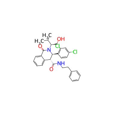 CC(C)[C@@H](CO)N1C(=O)c2ccccc2[C@@H](C(=O)NCCc2ccccc2)[C@@H]1c1ccc(Cl)cc1Cl